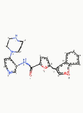 O=C(Nc1cnccc1N1CCNCC1)c1ccc(-c2coc3ccccc23)o1